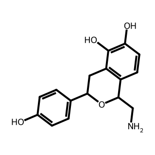 NCC1OC(c2ccc(O)cc2)Cc2c1ccc(O)c2O